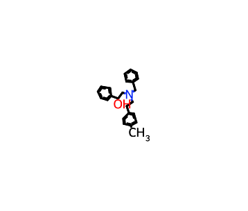 Cc1ccc(CCN(Cc2ccccc2)CC(O)c2ccccc2)cc1